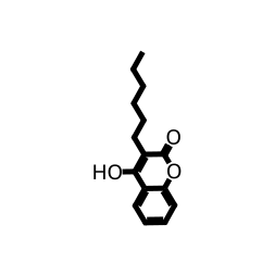 CCCCCCc1c(O)c2ccccc2oc1=O